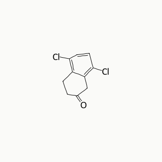 O=C1CCc2c(Cl)ccc(Cl)c2C1